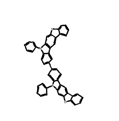 c1ccc(-n2c3cc(-c4ccc5c(c4)c4cc6c(cc4n5-c4ccccc4)sc4ccccc46)ccc3c3cc4c(cc32)oc2ccccc24)cc1